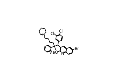 COc1nc2ccc(Br)cc2cc1C(c1ccc(Cl)c(Cl)c1)C(C)(CCCCN1CCCCC1)c1ccccc1